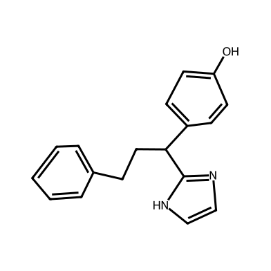 Oc1ccc(C(CCc2ccccc2)c2ncc[nH]2)cc1